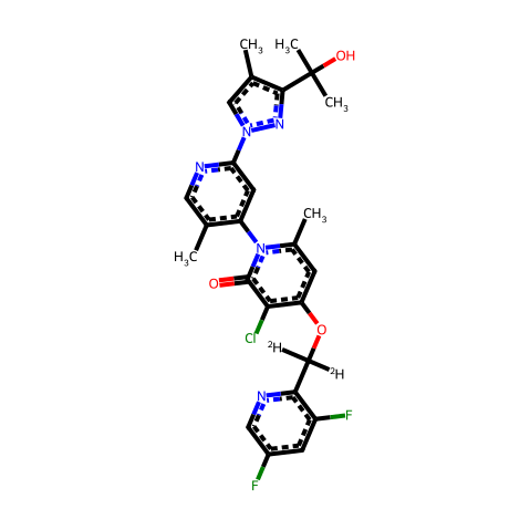 [2H]C([2H])(Oc1cc(C)n(-c2cc(-n3cc(C)c(C(C)(C)O)n3)ncc2C)c(=O)c1Cl)c1ncc(F)cc1F